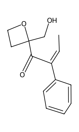 CC=C(C(=O)C1(CO)CCO1)c1ccccc1